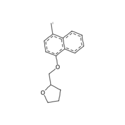 [CH]c1ccc(OCC2CCCO2)c2ccccc12